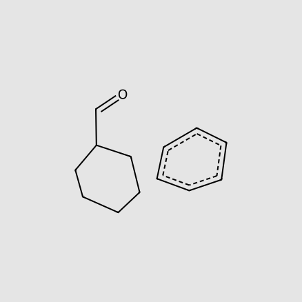 O=CC1CCCCC1.c1ccccc1